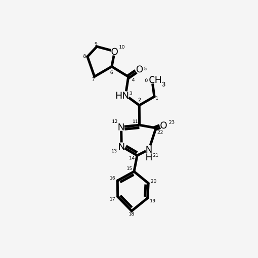 CCC(NC(=O)C1CCCO1)c1nnc(-c2ccccc2)[nH]c1=O